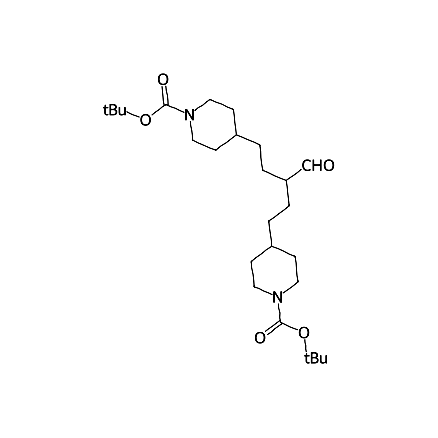 CC(C)(C)OC(=O)N1CCC(CCC(C=O)CCC2CCN(C(=O)OC(C)(C)C)CC2)CC1